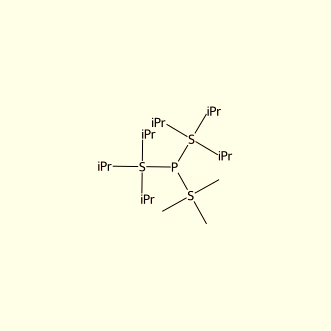 CC(C)S(C(C)C)(C(C)C)P(S(C)(C)C)S(C(C)C)(C(C)C)C(C)C